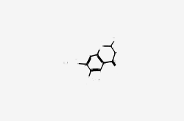 CCC1CC(=O)c2cc(OC)c(OC)cc2O1